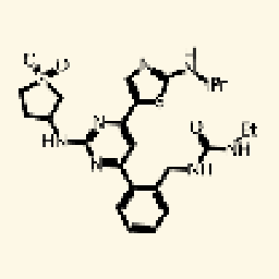 CCNC(=O)NCc1ccccc1-c1cc(-c2cnc(NC(C)C)s2)nc(NC2CCS(=O)(=O)C2)n1